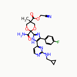 CC1(C(=O)OCC#N)COC(C(N)=O)(c2nc(-c3ccc(F)cc3)c(-c3ccnc(NCC4CC4)n3)[nH]2)OC1